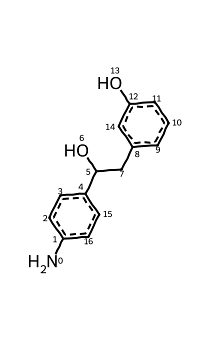 Nc1ccc(C(O)Cc2cccc(O)c2)cc1